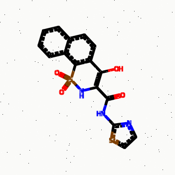 O=C(Nc1nccs1)C1=C(O)c2ccc3ccccc3c2S(=O)(=O)N1